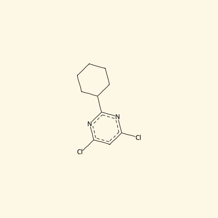 Clc1cc(Cl)nc(C2CCCCC2)n1